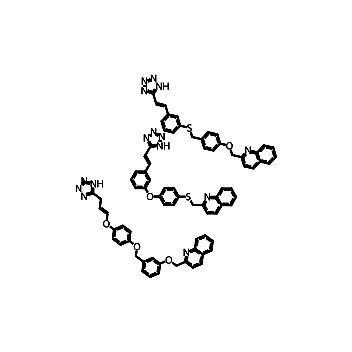 C(=C\Oc1ccc(OCc2cccc(OCc3ccc4ccccc4n3)c2)cc1)/Cc1nnn[nH]1.C(=C\c1nnn[nH]1)/c1cccc(Oc2ccc(SCc3ccc4ccccc4n3)cc2)c1.C(=C\c1nnn[nH]1)/c1cccc(SCc2ccc(OCc3ccc4ccccc4n3)cc2)c1